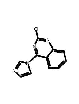 Clc1nc(-n2ccnc2)c2ccccc2n1